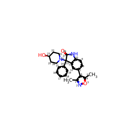 Cc1noc(C)c1-c1ccc2c(c1)C(c1ccccc1)(N1CCC(O)CC1)C(=O)N2